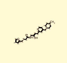 CN1CCN(Cc2ccnc(CC=C(O)CNC(=O)CSCc3ccco3)c2)CC1